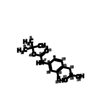 CC(C)(C)OC(=O)Nc1ccc(CB(O)O)c(F)c1